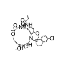 C=CC(=O)N[S@@]1(=O)=NC(=O)C(C)(C)OCC=C[C@@H](OC)[C@@H]2CC[C@H]2CN2C[C@@]3(CCCc4cc(Cl)ccc43)COc3ccc1cc32